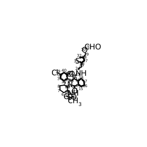 CS(=O)(=O)N[C@H]1CCCC[C@@H]1N1C(=O)c2ccccc2[C@@H](C(=O)NCCc2cc(COC=O)cs2)[C@@H]1c1ccc(Cl)cc1Cl